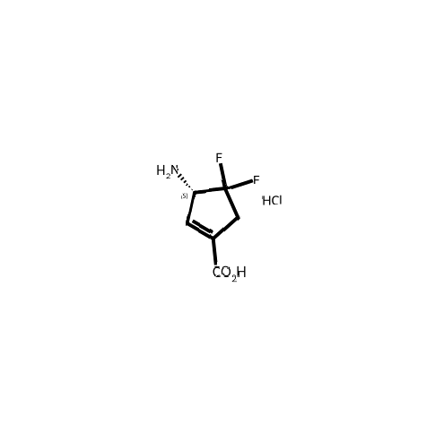 Cl.N[C@H]1C=C(C(=O)O)CC1(F)F